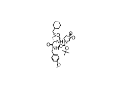 COc1ccc(CNC(=O)[C@H](CSCC2CCCCC2)NC(=O)[C@@H]2CS(=O)(=O)CN2C(=O)OC(C)(C)C)cc1